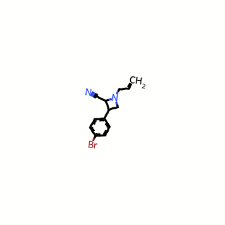 C=CCN1CC(c2ccc(Br)cc2)C1C#N